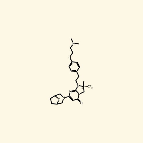 CN(C)CCOc1ccc(CCN2c3nc(N4CC5CCC(C4)O5)cc(=O)n3C[C@@]2(C)C(F)(F)F)cc1